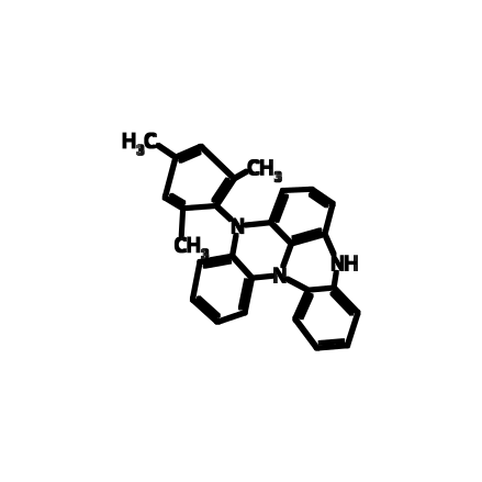 Cc1cc(C)c(N2c3ccccc3N3c4ccccc4Nc4cccc2c43)c(C)c1